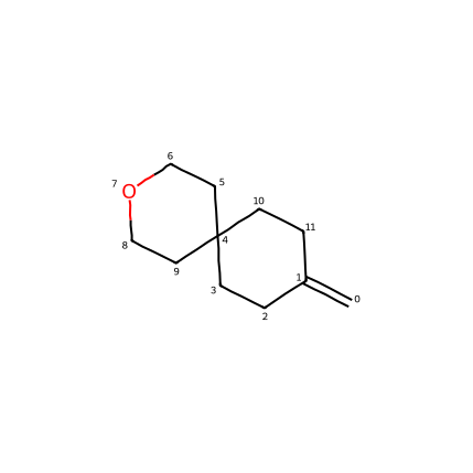 C=C1CCC2(CCOCC2)CC1